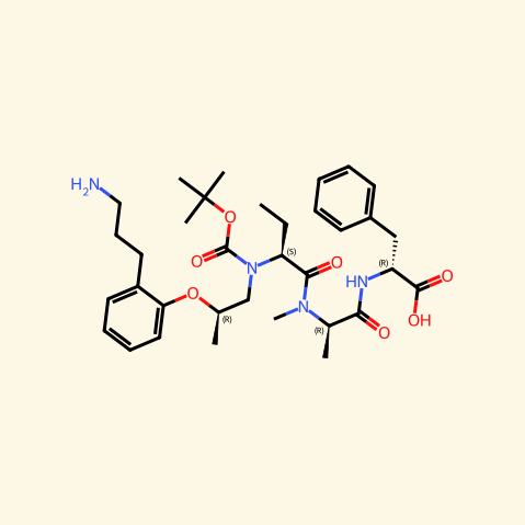 CC[C@@H](C(=O)N(C)[C@H](C)C(=O)N[C@H](Cc1ccccc1)C(=O)O)N(C[C@@H](C)Oc1ccccc1CCCN)C(=O)OC(C)(C)C